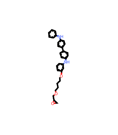 c1ccc(Nc2ccc(-c3ccc(Nc4cccc(OCCCCCOCC5CO5)c4)cc3)cc2)cc1